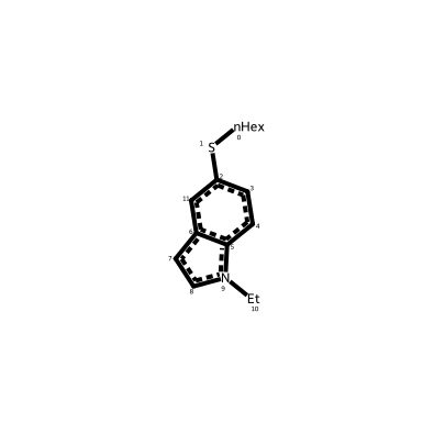 CCCCCCSc1ccc2c(ccn2CC)c1